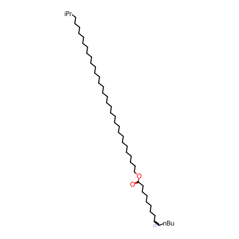 CCCC/C=C\CCCCCCCC(=O)OCCCCCCCCCCCCCCCCCCCCCCCCCCCCCCCCC(C)C